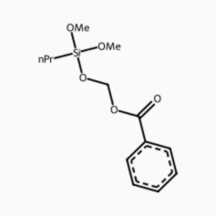 CCC[Si](OC)(OC)OCOC(=O)c1ccccc1